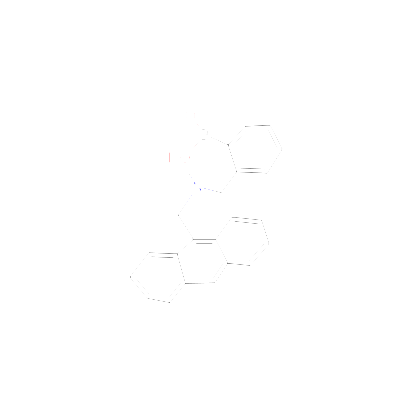 CN(Cc1ccccc1B(O)O)Cc1c2ccccc2cc2ccccc12